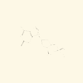 Nc1nc(=O)[nH]c2c1ncn2[C@H]1CC(OP(=O)(O)O)[C@@H](CO)O1